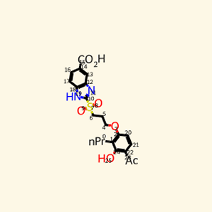 CCCc1c(OCCCS(=O)(=O)c2nc3cc(C(=O)O)ccc3[nH]2)ccc(C(C)=O)c1O